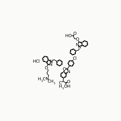 CC(C(=O)O)c1ccc2oc(-c3ccc(Cl)cc3)nc2c1.CN(C)CCCOc1nn(Cc2ccccc2)c2ccccc12.Cl.O=C(O)COc1nn(Cc2ccccc2)c2ccccc12